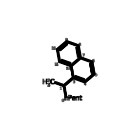 [CH2]CCCCC(C)c1cccc2ccccc12